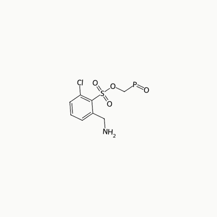 NCc1cccc(Cl)c1S(=O)(=O)OCP=O